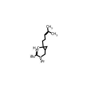 CCC(C)C(=O)N(CC1CC1(C)CCC=C(C)C)C(C)C